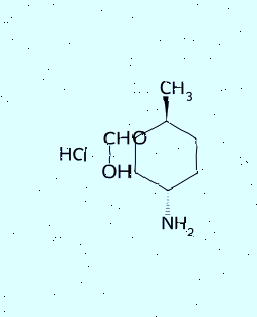 C[C@H]1CC[C@H](N)CC1.Cl.O=CO